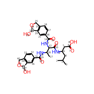 CC(C)CC(CC(=O)O)NC(=O)C(NC(=O)c1ccc2c(c1)B(O)OC2)C(C)NC(=O)c1ccc2c(c1)B(O)OC2